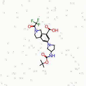 CC(C)(C)OC(=O)NC1CCN(c2cc3c(c(C(=O)O)c2)CN(C(=O)C(F)(F)F)CC3)C1